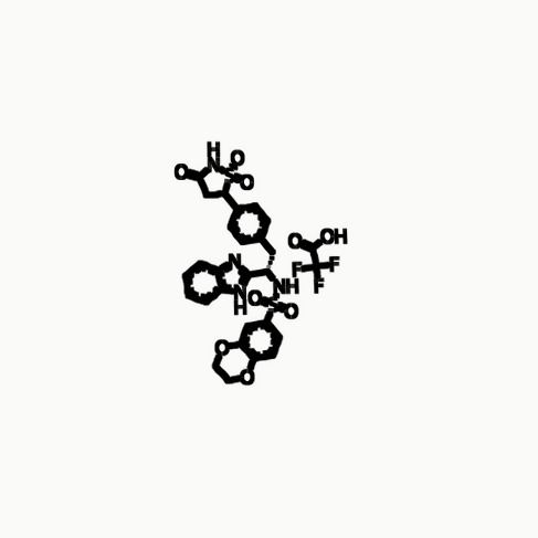 O=C(O)C(F)(F)F.O=C1CC(c2ccc(C[C@H](NS(=O)(=O)c3ccc4c(c3)OCCO4)c3nc4ccccc4[nH]3)cc2)S(=O)(=O)N1